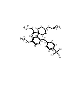 C=CCN1CCC(C(=O)CC)(c2cc(SC)ccc2Sc2ccc(C(F)(F)F)cc2)CC1